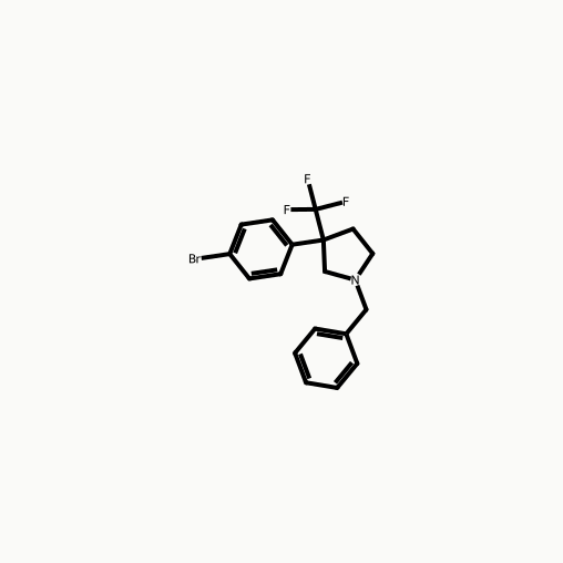 FC(F)(F)C1(c2ccc(Br)cc2)CCN(Cc2ccccc2)C1